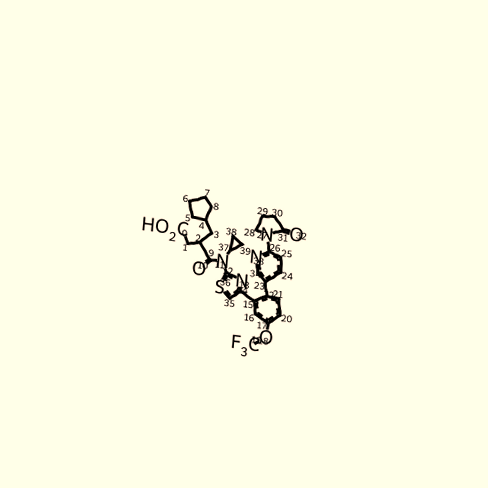 O=C(O)CC(CC1CCCC1)C(=O)N(c1nc(-c2cc(OC(F)(F)F)ccc2-c2ccc(N3CCCC3=O)nc2)cs1)C1CC1